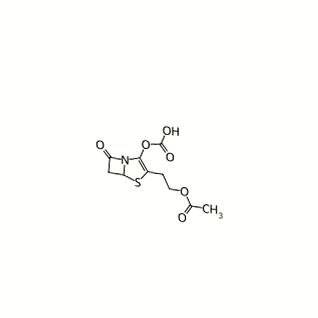 CC(=O)OCCC1=C(OC(=O)O)N2C(=O)CC2S1